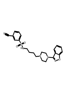 N#Cc1cccc(S(=O)(=O)NCCCCN2CCN(c3noc4ccccc34)CC2)c1